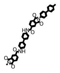 Cc1ccc(-c2ccc(N3C(=O)c4ccc(C(=O)Nc5ccc(-c6ccc(NC(=O)c7ccc8c(c7)C(=O)N(C)C8=O)cc6)cc5)cc4C3=O)cc2)cc1